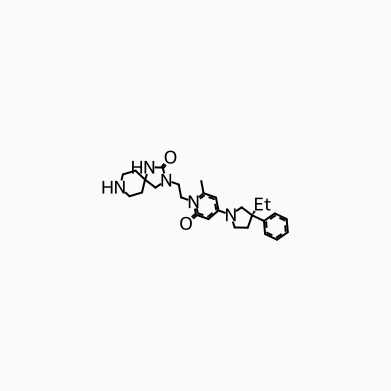 CC[C@@]1(c2ccccc2)CCN(c2cc(C)n(CCN3CC4(CCNCC4)NC3=O)c(=O)c2)C1